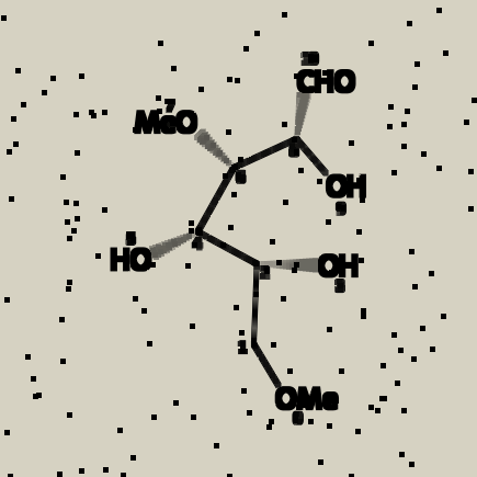 COC[C@@H](O)[C@H](O)[C@H](OC)[C@@H](O)C=O